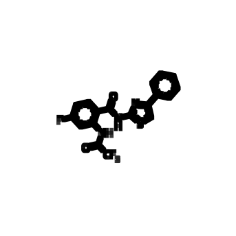 O=C(Nc1nc(-c2ccccc2)cs1)c1ccc(F)cc1NC(=O)C(F)(F)F